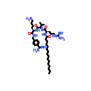 CCCCCCCCCCCCCCCC(=O)N[C@@H](CCCNC(=N)N)C(=O)NC(C(=O)N[C@@H](CCCCN)C(=O)NCc1ccc(C(=N)N)cc1)C(C)C